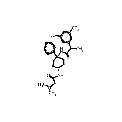 CC(C(=O)N[C@]1(c2ccccc2)CC[C@@H](NC(=O)CN(C)C)CC1)c1cc(C(F)(F)F)cc(C(F)(F)F)c1